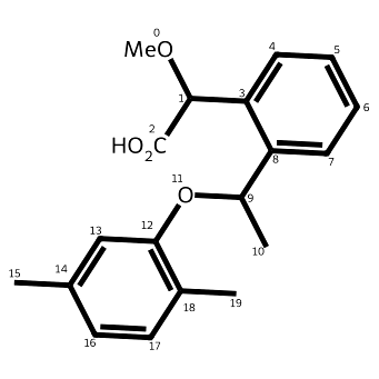 COC(C(=O)O)c1ccccc1C(C)Oc1cc(C)ccc1C